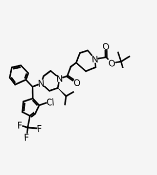 CC(C)[C@H]1CN(C(c2ccccc2)c2ccc(C(F)(F)F)cc2Cl)CCN1C(=O)CC1CCN(C(=O)OC(C)(C)C)CC1